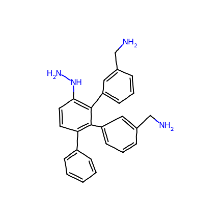 NCc1cccc(-c2c(NN)ccc(-c3ccccc3)c2-c2cccc(CN)c2)c1